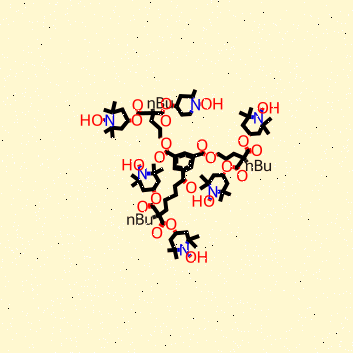 CCCCC(CCCOC(=O)c1cc(C(=O)CCCCC(CCCC)(C(=O)OC2CC(C)(C)N(O)C(C)(C)C2)C(=O)OC2CC(C)(C)N(O)C(C)(C)C2)cc(C(=O)OCCCC(CCCC)(C(=O)OC2CC(C)(C)N(O)C(C)(C)C2)C(=O)OC2CC(C)(C)N(O)C(C)(C)C2)c1)(C(=O)OC1CCN(O)C(C)C1)C(=O)OC1CC(C)(C)N(O)C(C)(C)C1